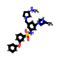 CN[C@H]1CCN(Cc2cc(NS(=O)(=O)c3cccc(Oc4ccccc4)c3)cc(-n3cnc(C)c3)c2)C1